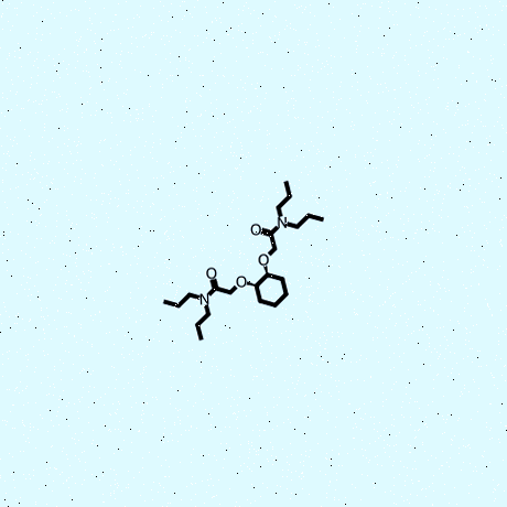 CCCN(CCC)C(=O)CO[C@H]1CCCC[C@H]1OCC(=O)N(CCC)CCC